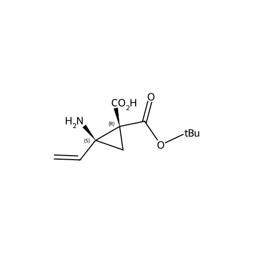 C=C[C@@]1(N)C[C@@]1(C(=O)O)C(=O)OC(C)(C)C